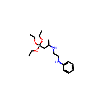 CCO[Si](CC(C)NCCNc1ccccc1)(OCC)OCC